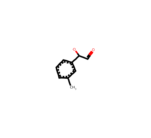 Cc1cccc(C([O])C=O)c1